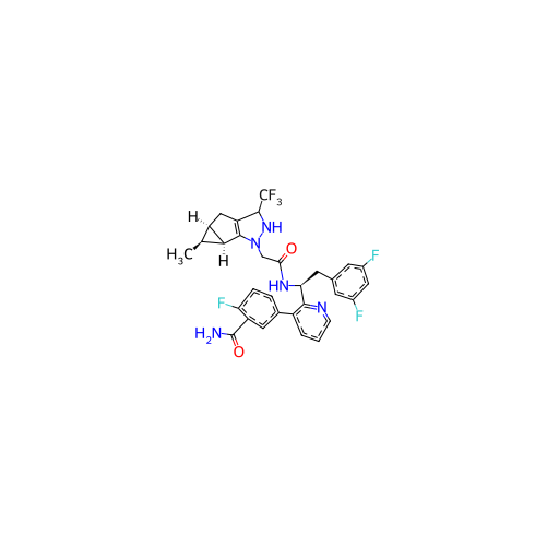 C[C@H]1[C@H]2CC3=C([C@@H]12)N(CC(=O)N[C@@H](Cc1cc(F)cc(F)c1)c1ncccc1-c1ccc(F)c(C(N)=O)c1)NC3C(F)(F)F